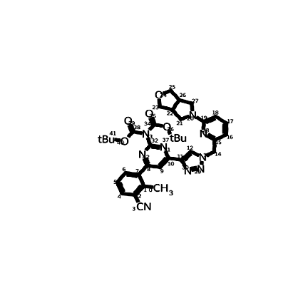 Cc1c(C#N)cccc1-c1cc(-c2cn(Cc3cccc(N4CC5COCC5C4)n3)nn2)nc(N(C(=O)OC(C)(C)C)C(=O)OC(C)(C)C)n1